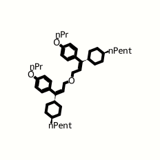 CCCCC[C@H]1CC[C@H](C(=CCOCC=C(c2ccc(OCCC)cc2)[C@H]2CC[C@H](CCCCC)CC2)c2ccc(OCCC)cc2)CC1